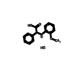 COc1ccccc1NC(C(=O)O)c1ccccc1.Cl